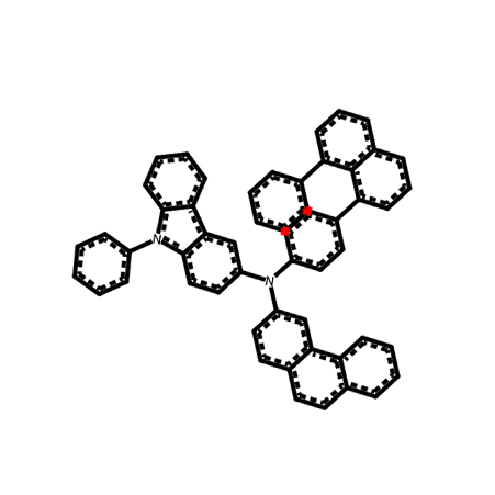 c1ccc(-c2cccc3cccc(-c4ccc(N(c5ccc6ccc7ccccc7c6c5)c5ccc6c(c5)c5ccccc5n6-c5ccccc5)cc4)c23)cc1